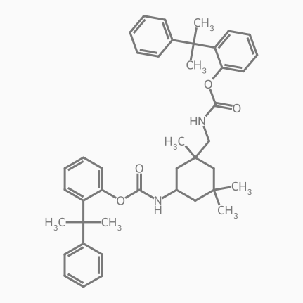 CC1(C)CC(NC(=O)Oc2ccccc2C(C)(C)c2ccccc2)CC(C)(CNC(=O)Oc2ccccc2C(C)(C)c2ccccc2)C1